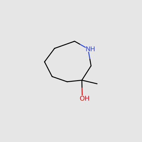 CC1(O)CCCCCNC1